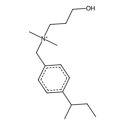 CCC(C)c1ccc(C[N+](C)(C)CCCO)cc1